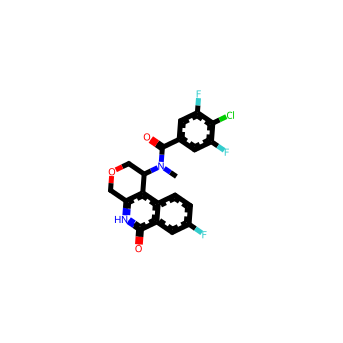 CN(C(=O)c1cc(F)c(Cl)c(F)c1)C1COCc2[nH]c(=O)c3cc(F)ccc3c21